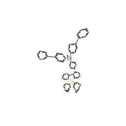 c1ccc(-c2ccc(N(c3ccc(-c4ccccc4)cc3)c3ccc(-c4cccc5c4-c4ccccc4S5(c4ccccc4)c4ccccc4)cc3)cc2)cc1